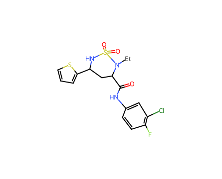 CCN1C(C(=O)Nc2ccc(F)c(Cl)c2)CC(c2cccs2)NS1(=O)=O